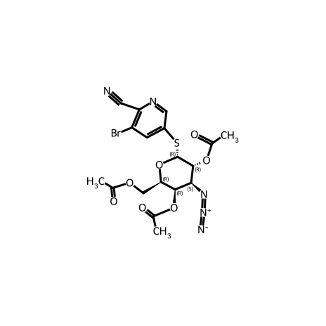 CC(=O)OC[C@H]1O[C@H](Sc2cnc(C#N)c(Br)c2)[C@H](OC(C)=O)[C@@H](N=[N+]=[N-])[C@H]1OC(C)=O